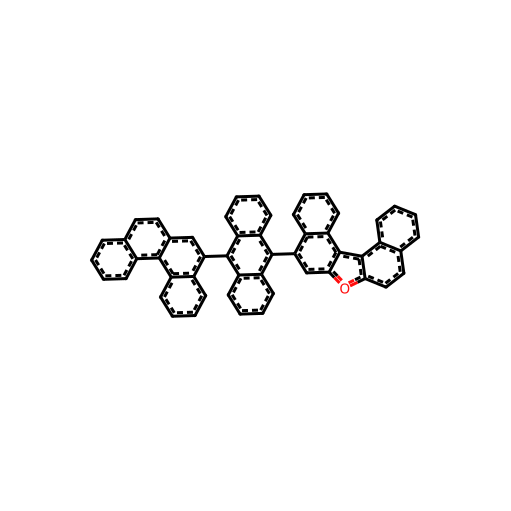 c1ccc2c(c1)ccc1cc(-c3c4ccccc4c(-c4cc5oc6ccc7ccccc7c6c5c5ccccc45)c4ccccc34)c3ccccc3c12